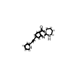 O=c1c2ccc(C#Cc3ccccn3)cc2nc2n1CCCCN2